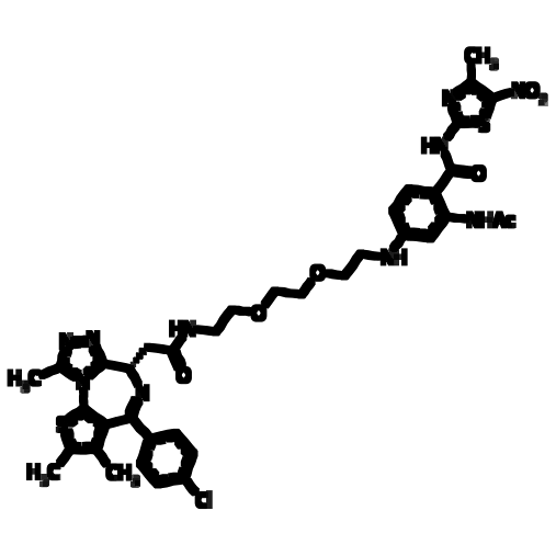 CC(=O)Nc1cc(NCCOCCOCCNC(=O)C[C@@H]2N=C(c3ccc(Cl)cc3)c3c(sc(C)c3C)-n3c(C)nnc32)ccc1C(=O)Nc1nc(C)c([N+](=O)[O-])s1